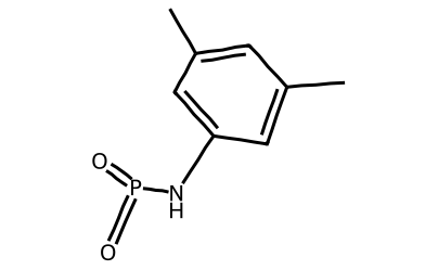 Cc1cc(C)cc(NP(=O)=O)c1